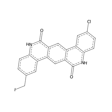 O=c1[nH]c2ccc(Cl)cc2c2cc3c(=O)[nH]c4ccc(CI)cc4c3cc12